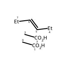 CC(=O)O.CC(=O)O.CCC=CCC